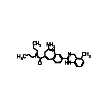 CCCN(CCC)C(=O)C1=Cc2ccc(C3=NCc4c(C)cccc4N3)cc2N=C(N)C1